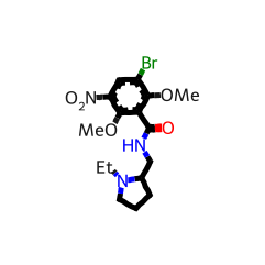 CCN1CCCC1CNC(=O)c1c(OC)c(Br)cc([N+](=O)[O-])c1OC